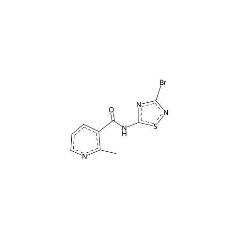 Cc1ncccc1C(=O)Nc1nc(Br)ns1